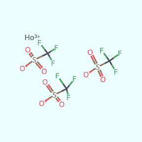 O=S(=O)([O-])C(F)(F)F.O=S(=O)([O-])C(F)(F)F.O=S(=O)([O-])C(F)(F)F.[Ho+3]